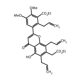 C=CCc1c(-c2cc(=O)c3c(O)c(CC=C)c(CC(=O)OCC)c(CC=C)c3o2)cc(OC)c(OC)c1C(=O)OCC